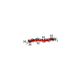 N=C(N)Nc1ccc(C(=O)Oc2ccc(CC(=O)OCC(=O)NCCOCCOCCNC(=O)COC(=O)Cc3ccc(OC(=O)c4ccc(NC(=N)N)cc4)cc3)cc2)cc1